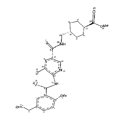 COc1ccc(CC=O)cc1C(C)Nc1ncc(C(=O)NC[C@H]2CC[C@H](C(=O)OC)CC2)cc1Cl